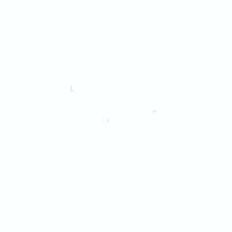 [Li][c]1ccccc1Oc1ccccc1C